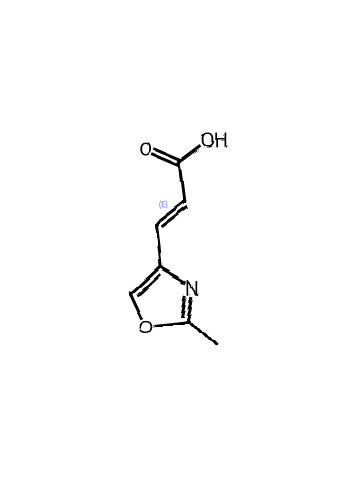 Cc1nc(/C=C/C(=O)O)co1